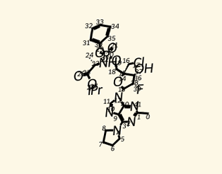 Cc1nc(N2CCCC2)c2ncn([C@@H]3O[C@](CCl)(CO[P@@](=O)(N[C@@H](C)C(=O)OC(C)C)Oc4ccccc4)[C@@H](O)[C@@H]3F)c2n1